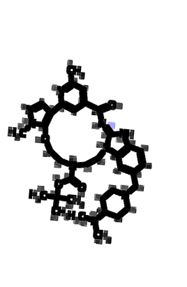 Cc1cc2cc(n1)-c1cnn(C)c1OCCN(C(=O)OC(C)(C)C)CCN1/C(=N/C2=O)Nc2ccc(CN3CCC(N(C)C)CC3)cc21